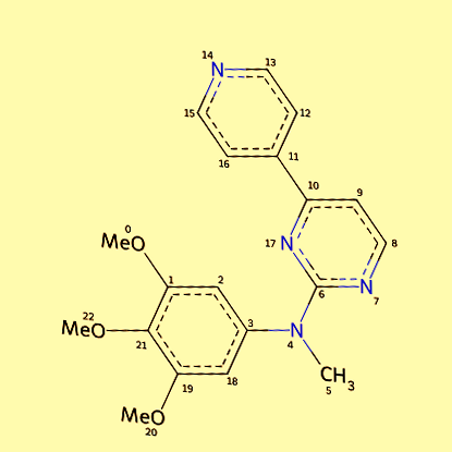 COc1cc(N(C)c2nccc(-c3ccncc3)n2)cc(OC)c1OC